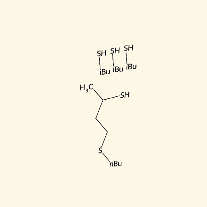 CCC(C)S.CCC(C)S.CCC(C)S.CCCCSCCC(C)S